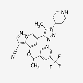 Cc1c(-c2cc(OC(C)c3cncc(C(F)(F)F)c3)c3c(C#N)cnn3c2)nnn1C1CCNCC1